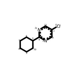 Clc1cnc(C2CC[CH]CC2)nc1